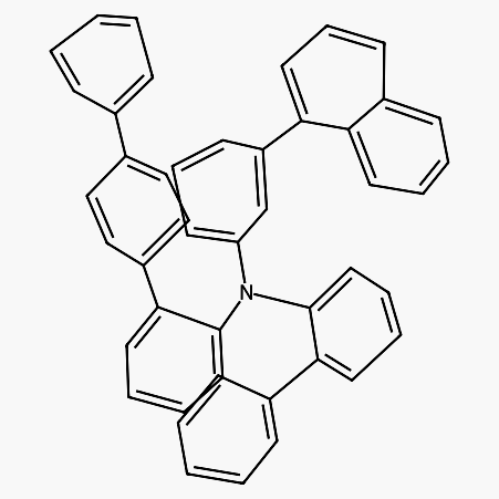 c1ccc(-c2ccc(-c3ccccc3N(c3cccc(-c4cccc5ccccc45)c3)c3ccccc3-c3ccccc3)cc2)cc1